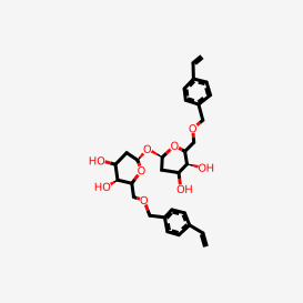 C=Cc1ccc(COCC2O[C@H](O[C@@H]3CC(O)[C@H](O)C(COCc4ccc(C=C)cc4)O3)CC(O)[C@@H]2O)cc1